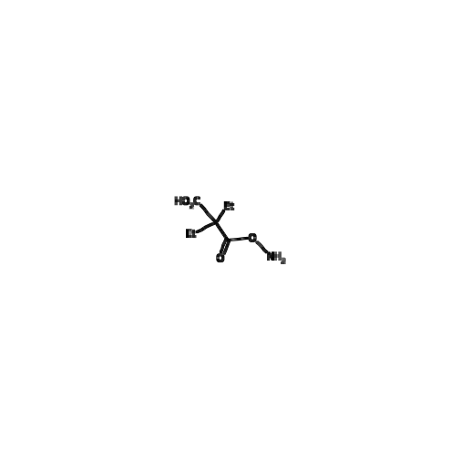 CCC(CC)(C(=O)O)C(=O)ON